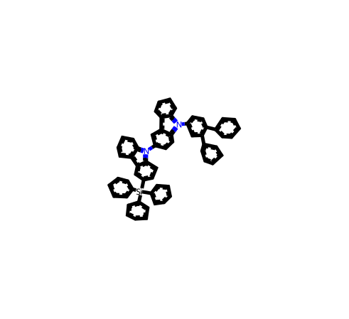 c1ccc(-c2ccc(-n3c4ccccc4c4cc(-n5c6ccccc6c6cc([Si](c7ccccc7)(c7ccccc7)c7ccccc7)ccc65)ccc43)cc2-c2ccccc2)cc1